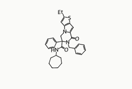 CCc1cc2c(cc3n2CC(C(=O)NC2CCCCCC2)(c2ccccc2)N(Cc2ccccc2)C3=O)s1